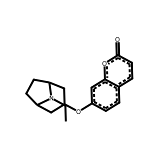 CCN1C2CCC1CC(Oc1ccc3ccc(=O)oc3c1)C2